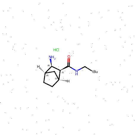 CC(C)(C)CNC(=O)[C@H]1[C@H]2CC[C@H](C2)[C@H]1N.Cl